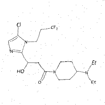 CCN(CC)C1CCN(C(=O)CC(O)c2ncc(Cl)n2CCC(F)(F)F)CC1